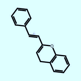 [c]1cccc2c1OC(/C=C/c1ccccc1)=CC2